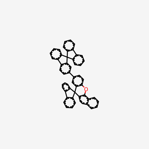 c1ccc2c(c1)-c1ccccc1C21c2ccccc2-c2ccc(-c3ccc4c(c3)C3(c5ccccc5-c5ccccc53)c3ccc5ccccc5c3O4)cc21